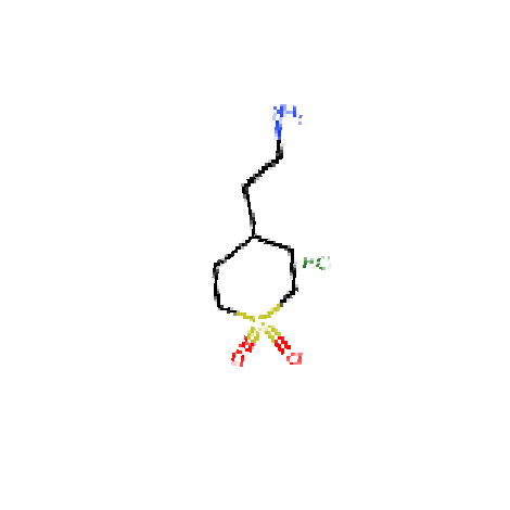 Cl.NCCC1CCS(=O)(=O)CC1